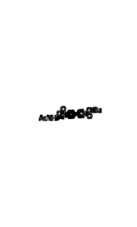 CC(=O)NCC1CN(c2ccc(C3=CCN(C(=O)OC(C)(C)C)CC3)cc2)C(=O)O1